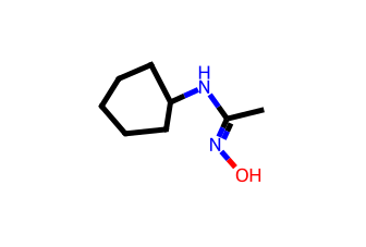 CC(=NO)NC1CCCCC1